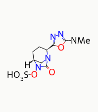 CNc1nnc([C@@H]2CC[C@@H]3CN2C(=O)N3OS(=O)(=O)O)o1